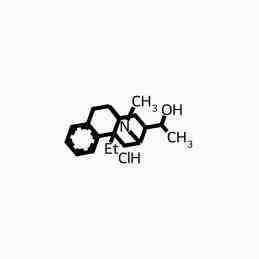 CCC12CC3C(C(C)O)CC1C(Cc1ccccc12)N3C.Cl